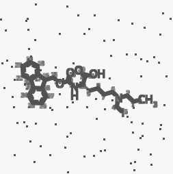 CCCN(CI)CCCC[C@H](NC(=O)OCC1c2ccccc2-c2ccccc21)C(=O)O